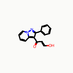 O=C(C=CO)c1c(-c2ccccc2)nn2ccccc12